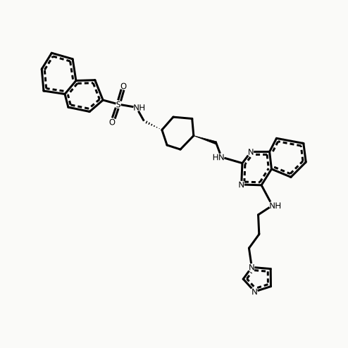 O=S(=O)(NC[C@H]1CC[C@H](CNc2nc(NCCCn3ccnc3)c3ccccc3n2)CC1)c1ccc2ccccc2c1